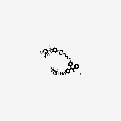 CC/C(=C(\c1ccc(O)cc1)c1ccc(OCCCCN2CCN(c3ccc4c(c3)CN([C@H]3CCC(=O)NC3=O)C4=O)CC2)cc1)c1ccccc1.O=C(O)C(F)(F)F